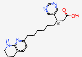 O=C(O)C[C@H](CCCCCCc1ccc2c(n1)NCCC2)c1cncnc1